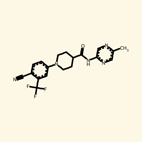 Cc1cnc(NC(=O)C2CCN(c3ccc(C#N)c(C(F)(F)F)c3)CC2)cn1